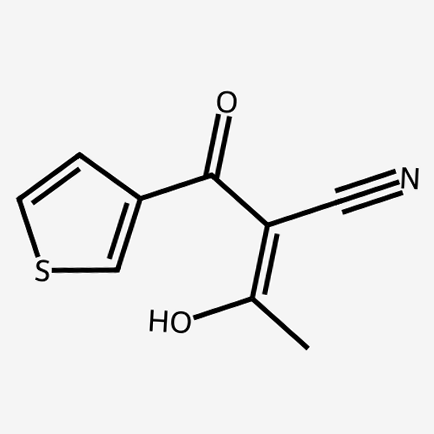 CC(O)=C(C#N)C(=O)c1ccsc1